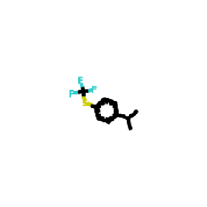 CC(C)c1ccc(SC(F)(F)F)cc1